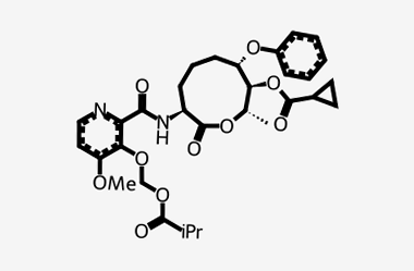 COc1ccnc(C(=O)N[C@H]2CCC[C@H](Oc3ccccc3)[C@@H](OC(=O)C3CC3)[C@H](C)OC2=O)c1OCOC(=O)C(C)C